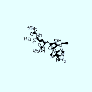 C#CCO[C@@H]1[C@H](O)[C@@H](C[C@H](CC[C@H](NC(=O)OC(C)(C)C)C(=O)O)NC(=O)OC(C)(C)C)O[C@H]1n1cnc2c(N)ncnc21